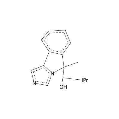 CC(C)C(O)C1(C)c2ccccc2-c2cncn21